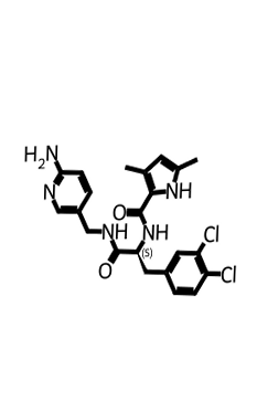 Cc1cc(C)c(C(=O)N[C@@H](Cc2ccc(Cl)c(Cl)c2)C(=O)NCc2ccc(N)nc2)[nH]1